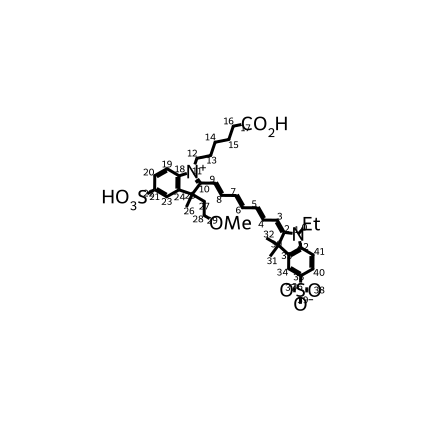 CCN1/C(=C/C=C/C=C/C=C/C2=[N+](CCCCCC(=O)O)c3ccc(S(=O)(=O)O)cc3C2(C)CCOC)C(C)(C)c2cc(S(=O)(=O)[O-])ccc21